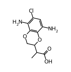 CC(C(=O)O)C1COc2c(N)c(Cl)cc(N)c2O1